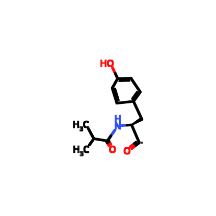 CC(C)C(=O)N[C@H]([C]=O)Cc1ccc(O)cc1